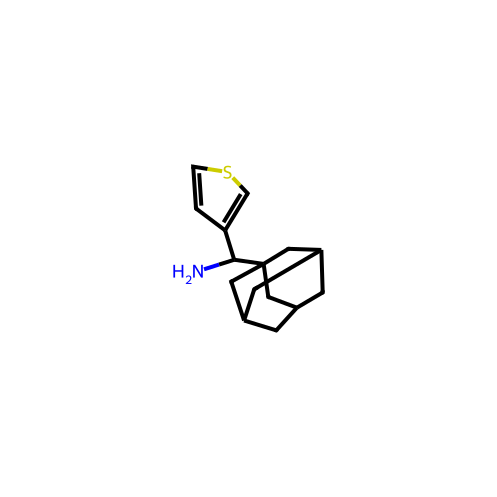 NC(c1ccsc1)C12CC3CC(CC(C3)C1)C2